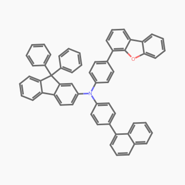 c1ccc(C2(c3ccccc3)c3ccccc3-c3ccc(N(c4ccc(-c5cccc6ccccc56)cc4)c4ccc(-c5cccc6c5oc5ccccc56)cc4)cc32)cc1